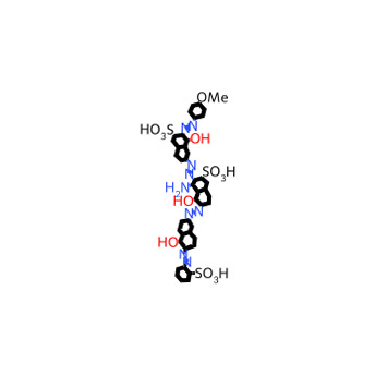 COc1ccc(N=Nc2c(S(=O)(=O)O)cc3ccc(N=Nc4c(S(=O)(=O)O)cc5ccc(N=Nc6ccc7c(O)c(N=Nc8ccccc8S(=O)(=O)O)ccc7c6)c(O)c5c4N)cc3c2O)cc1